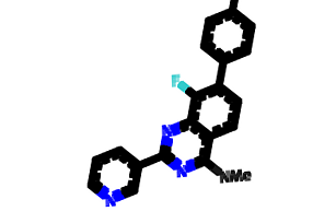 CNc1nc(-c2cccnc2)nc2c(F)c(-c3ccc(C)cc3)ccc12